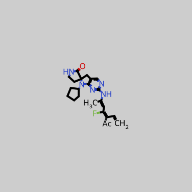 C=C/C(C(C)=O)=C(F)\C=C(/C)Nc1ncc2c(n1)N(C1CCCC1)C1(CCNC1=O)C2